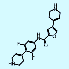 O=C(Nc1cc(F)c(C2=CCNCC2)c(F)c1)c1cc(C2=CCNCC2)co1